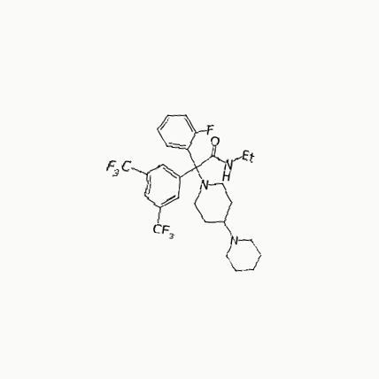 CCNC(=O)C(c1cc(C(F)(F)F)cc(C(F)(F)F)c1)(c1ccccc1F)N1CCC(N2CCCCC2)CC1